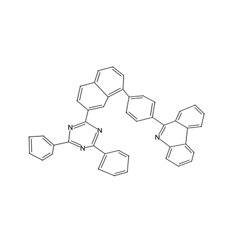 c1ccc(-c2nc(-c3ccccc3)nc(-c3ccc4cccc(-c5ccc(-c6nc7ccccc7c7ccccc67)cc5)c4c3)n2)cc1